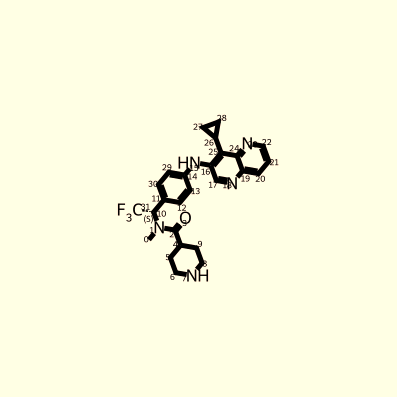 CN(C(=O)C1CCNCC1)[C@@H](c1ccc(Nc2cnc3cccnc3c2C2CC2)cc1)C(F)(F)F